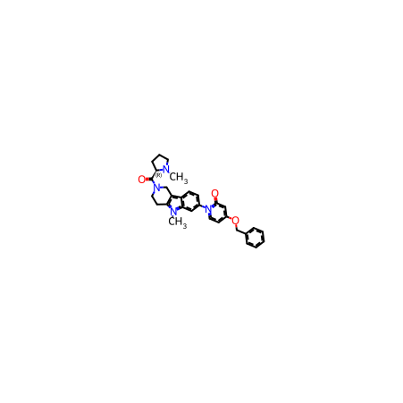 CN1CCC[C@@H]1C(=O)N1CCc2c(c3ccc(-n4ccc(OCc5ccccc5)cc4=O)cc3n2C)C1